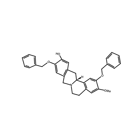 COc1cc2c(cc1OCc1ccccc1)[C@H]1Cc3cc(O)c(OCc4ccccc4)cc3CN1CC2